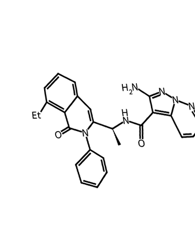 CCc1cccc2cc([C@H](C)NC(=O)c3c(N)nn4ncccc34)n(-c3ccccc3)c(=O)c12